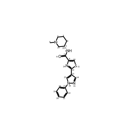 CN1CCC[C@H](NC(=O)c2csc(-c3cnn(-c4ccccc4)c3)n2)C1